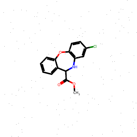 COC(=O)C1Nc2cc(Cl)ccc2Oc2ccccc21